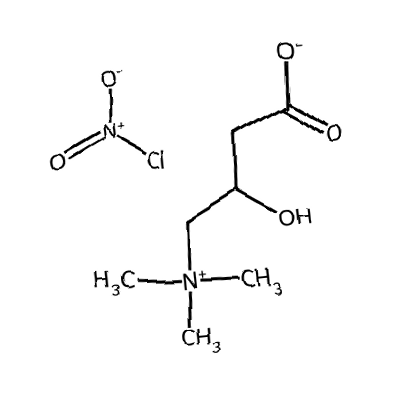 C[N+](C)(C)CC(O)CC(=O)[O-].O=[N+]([O-])Cl